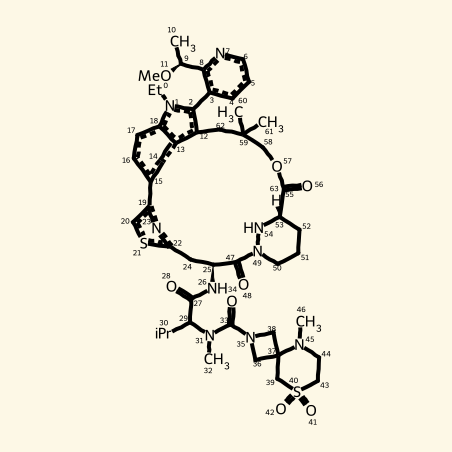 CCn1c(-c2cccnc2[C@H](C)OC)c2c3cc(ccc31)-c1csc(n1)C[C@H](NC(=O)C(C(C)C)N(C)C(=O)N1CC3(C1)CS(=O)(=O)CCN3C)C(=O)N1CCC[C@H](N1)C(=O)OCC(C)(C)C2